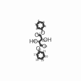 O=C(Oc1ccccc1)[C@H](O)[C@@H](O)C(=O)Oc1ccccc1